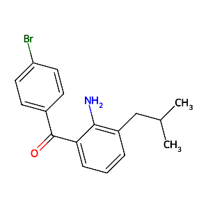 CC(C)Cc1cccc(C(=O)c2ccc(Br)cc2)c1N